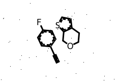 C#Cc1ccc(F)cc1.c1cc2c(s1)COCC2